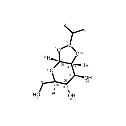 CC(C)B1O[C@H]2O[C@](C)(CO)[C@@H](O)[C@H](O)[C@H]2O1